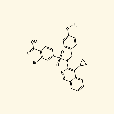 COC(=O)c1ccc(S(=O)(=O)N(Cc2ccc(OC(F)(F)F)cc2)c2ncc3ccccc3c2C2CC2)cc1Br